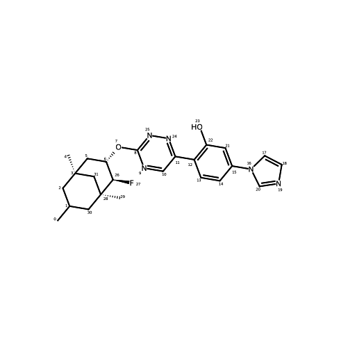 CC1C[C@@]2(C)C[C@H](Oc3ncc(-c4ccc(-n5ccnc5)cc4O)nn3)[C@@H](F)[C@@](C)(C1)C2